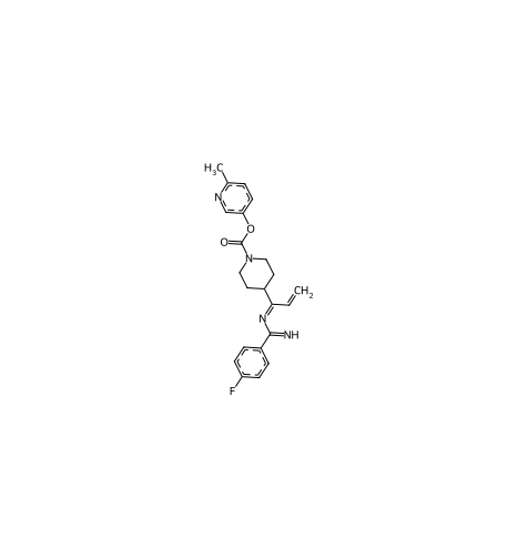 C=C/C(=N\C(=N)c1ccc(F)cc1)C1CCN(C(=O)Oc2ccc(C)nc2)CC1